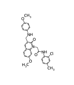 COc1ccc(NCc2cc3ccc(OC)cc3n(CC(=O)Nc3ccc(C)cc3Cl)c2=O)cc1